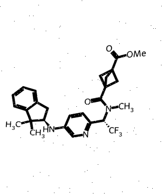 COC(=O)C12CC(C(=O)N(C)[C@@H](c3ccc(N[C@@H]4Cc5ccccc5C4(C)C)cn3)C(F)(F)F)(C1)C2